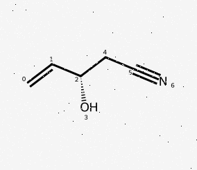 C=C[C@@H](O)CC#N